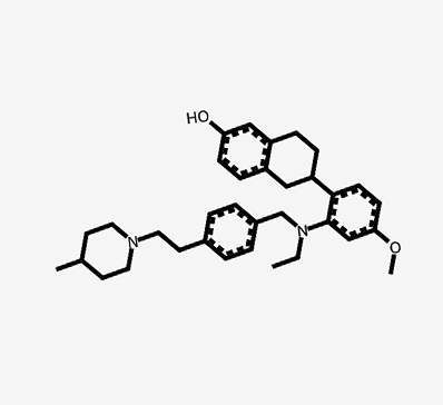 CCN(Cc1ccc(CCN2CCC(C)CC2)cc1)c1cc(OC)ccc1C1CCc2cc(O)ccc2C1